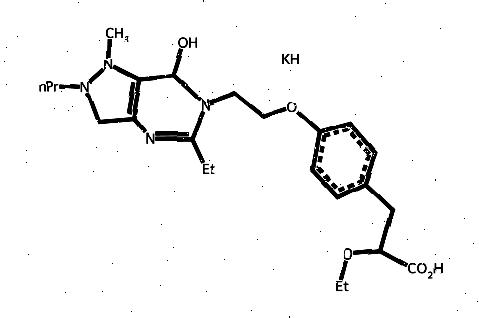 CCCN1CC2=C(C(O)N(CCOc3ccc(CC(OCC)C(=O)O)cc3)C(CC)=N2)N1C.[KH]